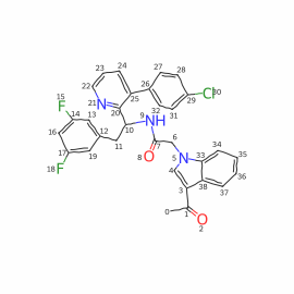 CC(=O)c1cn(CC(=O)NC(Cc2cc(F)cc(F)c2)c2ncccc2-c2ccc(Cl)cc2)c2ccccc12